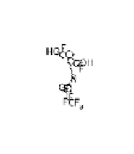 CN(CCCCCCC1=C(c2ccc(F)c(O)c2)CCCc2c1ccc(O)c2F)CCCS(=O)(=O)CCCC(F)(F)C(F)(F)F